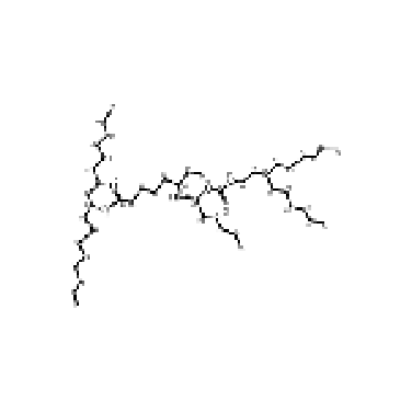 CCCCCCCCC(CCCCCCCC)OC(=O)CCCCC(CC)NC(CCCCC)OC(=O)OCCC(CCCCCC)CCCCCC